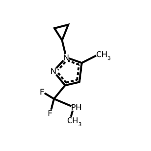 CPC(F)(F)c1cc(C)n(C2CC2)n1